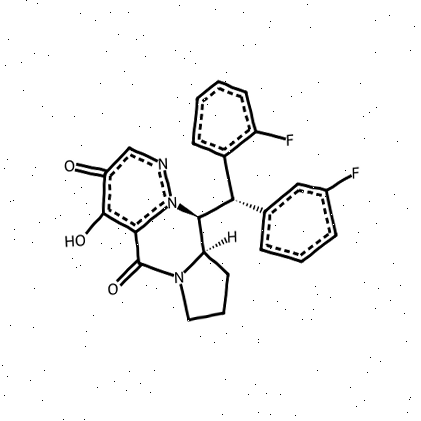 O=C1c2c(O)c(=O)cnn2[C@@H]([C@@H](c2cccc(F)c2)c2ccccc2F)[C@H]2CCCN12